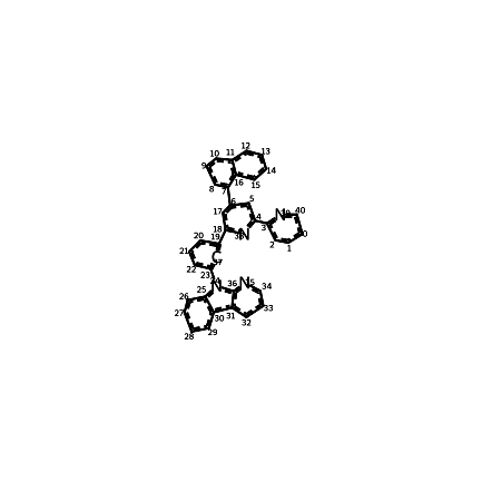 c1ccc(-c2cc(-c3cccc4ccccc34)cc(-c3cccc(-n4c5ccccc5c5cccnc54)c3)n2)nc1